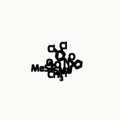 CSC(C)(SC)C(=O)Oc1cc(Cl)c(Cl)cc1NC(=O)C1(CCC(C)C)CCCC1